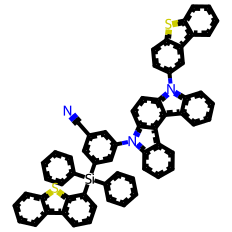 N#Cc1cc(-n2c3ccccc3c3c4c5ccccc5n(-c5ccc6sc7ccccc7c6c5)c4ccc32)cc([Si](c2ccccc2)(c2ccccc2)c2cccc3c2sc2ccccc23)c1